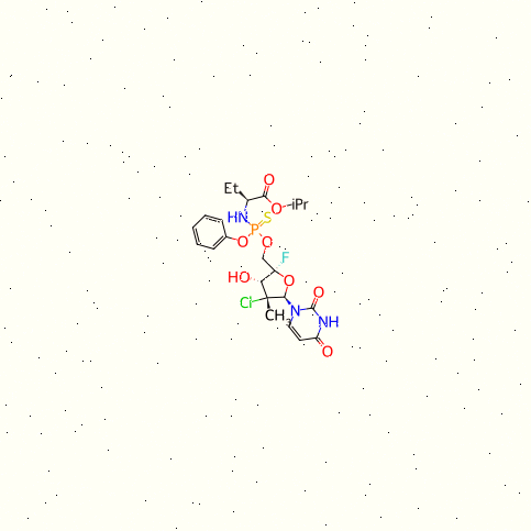 CC[C@H](NP(=S)(OC[C@@]1(F)O[C@@H](n2ccc(=O)[nH]c2=O)[C@](C)(Cl)[C@@H]1O)Oc1ccccc1)C(=O)OC(C)C